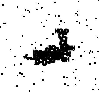 CC(C)CCC[C@@H](N)C1CCC2C3CCC4CC(OC(=O)N[C@H]5C(CO)O[C@@H](OC(=O)[C@@]6(CCC(C)(C)C)C(O)C[C@]7(C)C(=CCC8C9(C)CC[C@H](O)C(C)(C=O)C9CCC87C)C6I)C(O[C@@H]6OC(C)[C@H](O[C@H]7CC(O)(O)[C@H](O)CO7)C(O)C6O)C5O)CCC4(C)C3CCC21C